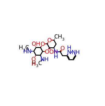 CNC1C2OC3(O)C(OC2[C@@H](O)[C@H](NC)[C@@H]1O)O[C@H](C)C[C@H]3NC(=O)CC1=CC=CNN1